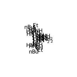 CCCCC(CC)CNC(=N)NC(=N)NCCCCCCNC(=N)NC(=N)NCC(CC)CCCC.N=C(N)NC(=N)N.N=C(N)NC(=N)N